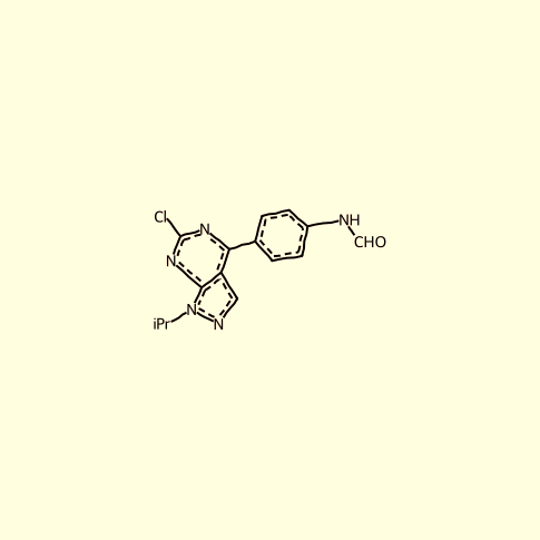 CC(C)n1ncc2c(-c3ccc(NC=O)cc3)nc(Cl)nc21